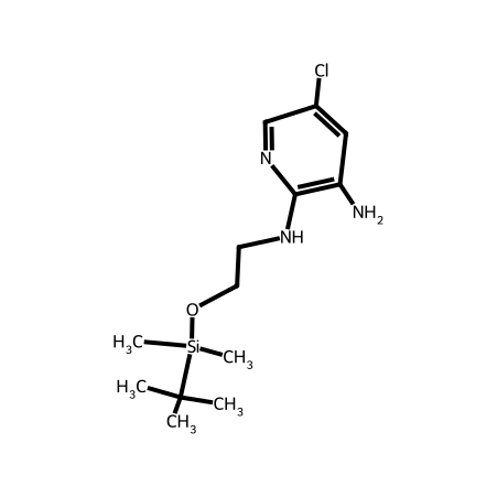 CC(C)(C)[Si](C)(C)OCCNc1ncc(Cl)cc1N